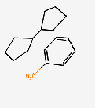 C1CCC(C2CCCC2)C1.Pc1ccccc1